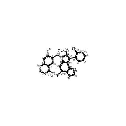 Nc1ncnc2cc(F)c(Cn3c(C(=O)O)c(-c4ccc[nH]c4=O)c4c5occc5c(F)cc43)cc12